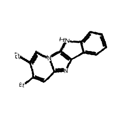 CCc1cc2nc3c4ccccc4[nH]c3n2cc1CC